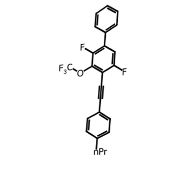 CCCc1ccc(C#Cc2c(F)cc(-c3ccccc3)c(F)c2OC(F)(F)F)cc1